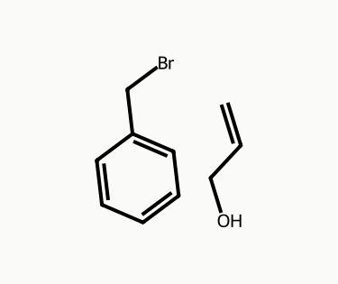 BrCc1ccccc1.C=CCO